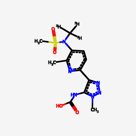 [2H]C([2H])([2H])N(c1ccc(-c2nnn(C)c2NC(=O)O)nc1C)S(C)(=O)=O